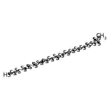 COS(=S)(=S)SSSSSSSSSSSSSSSSSSSSSSSSSSSSSSSSS